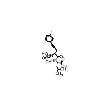 CC(C)C[C@H](NC(=O)[C@H](CC#Cc1cccc(F)c1)NCP(=O)(O)O)C(=O)O